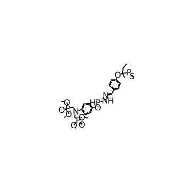 CCC(C)(Oc1ccc(/C=N/NPOc2ccc(N(CP(=O)(OC)OC)CP(=O)(OC)OC)cc2)cc1)P=S